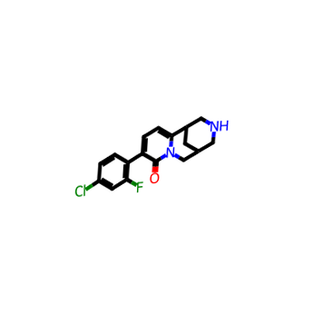 O=c1c(-c2ccc(Cl)cc2F)ccc2n1CC1CNCC2C1